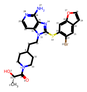 C[C@H](O)C(=O)N1CCC(CCn2c(Sc3cc4occc4cc3Br)nc3c(N)nccc32)CC1